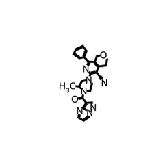 CC1CN(c2nc(-c3ccccc3)c3c(c2C#N)CCOC3)CCN1C(=O)c1cnn2cccnc12